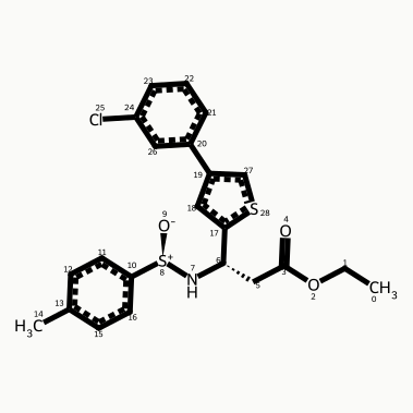 CCOC(=O)C[C@H](N[S@+]([O-])c1ccc(C)cc1)c1cc(-c2cccc(Cl)c2)cs1